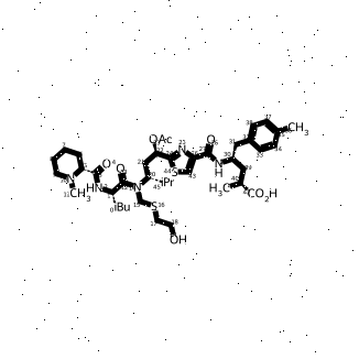 CCC(C)[C@H](NC(=O)[C@H]1CCCCN1C)C(=O)N(CSCCO)[C@H](C[C@@H](OC(C)=O)c1nc(C(=O)N[C@@H](Cc2ccc(C)cc2)C[C@H](C)C(=O)O)cs1)C(C)C